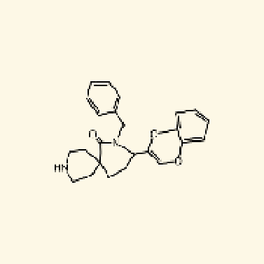 O=C1N(Cc2ccccc2)C(C2=COc3ccccc3O2)CCC12CCNCC2